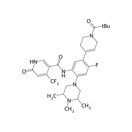 CC1CN(c2cc(F)c(C3=CCN(C(=O)C(C)(C)C)CC3)cc2NC(=O)c2c[nH]c(=O)cc2C(F)(F)F)CC(C)N1C